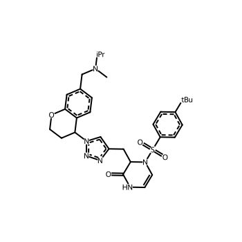 CC(C)N(C)Cc1ccc2c(c1)OCCC2n1cc(CC2C(=O)NC=CN2S(=O)(=O)c2ccc(C(C)(C)C)cc2)nn1